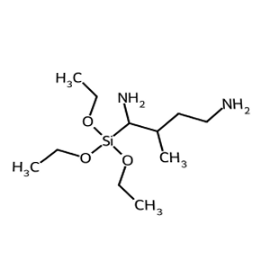 CCO[Si](OCC)(OCC)C(N)C(C)CCN